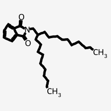 CCCCCCCCCCC(CCCCCCCCCC)CN1C(=O)c2ccccc2C1=O